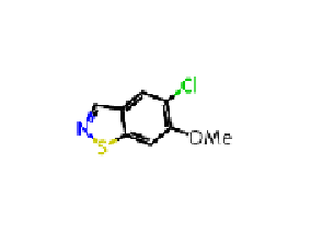 COc1cc2sncc2cc1Cl